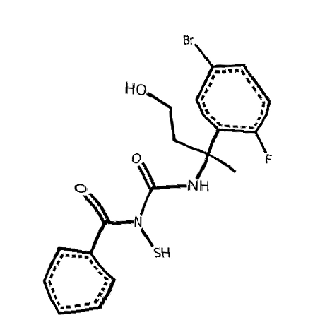 CC(CCO)(NC(=O)N(S)C(=O)c1ccccc1)c1cc(Br)ccc1F